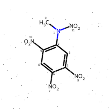 CN(c1cc([N+](=O)[O-])c([N+](=O)[O-])cc1[N+](=O)[O-])[N+](=O)[O-]